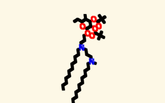 CCCCCCCCCCCCN(C)CCCN(CCCCCCCCCCCC)CCCOC1OC(CC)C(C)C(OC(=O)C(C)(C)C)C1OC(=O)C(C)(C)C